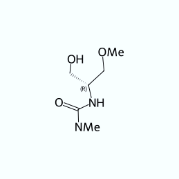 CNC(=O)N[C@H](CO)COC